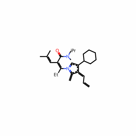 C=C/C=c1/c(C2CCCCC2)cn(/C(CC)=C(/C=C(C)C)C(=O)N(C)C(C)C)c1=C